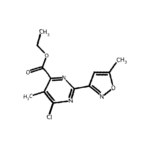 CCOC(=O)c1nc(-c2cc(C)on2)nc(Cl)c1C